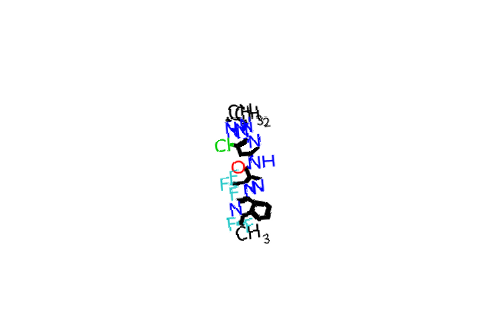 C=NN(/N=C\C)c1ncc(NC(=O)c2cnn(-c3cnc(C(C)(F)F)c4ccccc34)c2C(F)(F)F)cc1Cl